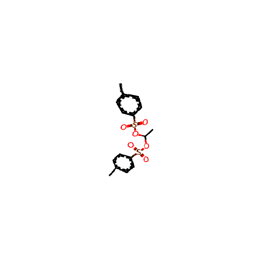 Cc1ccc(S(=O)(=O)OC(C)OS(=O)(=O)c2ccc(C)cc2)cc1